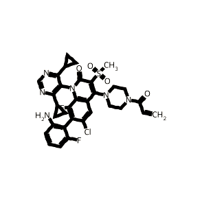 C=CC(=O)N1CCN(c2c(S(C)(=O)=O)c(=O)n(-c3c(C4CC4)ncnc3C3CC3)c3c(F)c(-c4c(N)cccc4F)c(Cl)cc23)CC1